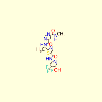 CNC(=O)c1cc(C(=O)NC(C)c2ncc(C(=O)Nc3cc(C(F)(F)F)c(O)cn3)s2)ncn1